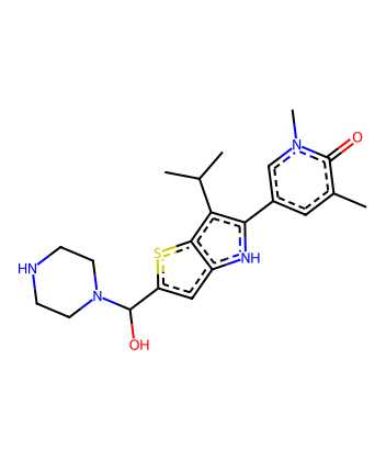 Cc1cc(-c2[nH]c3cc(C(O)N4CCNCC4)sc3c2C(C)C)cn(C)c1=O